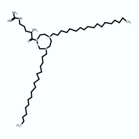 CCCCCCCCCCCCCCCCCCN1CCN(CCCCCCCCCCCCCCCCCC)CCN(C(=O)[C@@H](N)CCCNC(=N)N)CC1